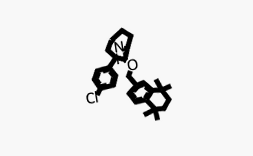 CC1(C)CCC(C)(C)c2cc(COC3C4CCC(CC3c3ccc(Cl)cc3)N4)ccc21